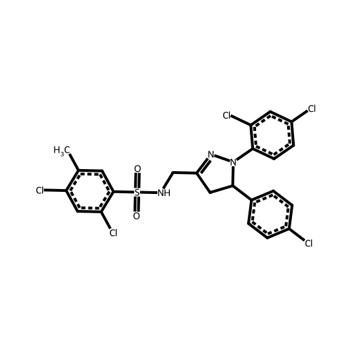 Cc1cc(S(=O)(=O)NCC2=NN(c3ccc(Cl)cc3Cl)C(c3ccc(Cl)cc3)C2)c(Cl)cc1Cl